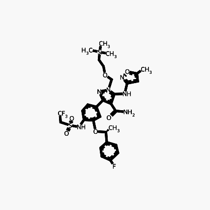 Cc1cc(Nc2c(C(N)=O)c(-c3ccc(NS(=O)(=O)CC(F)(F)F)c(O[C@@H](C)c4ccc(F)cc4)c3)nn2COCC[Si](C)(C)C)no1